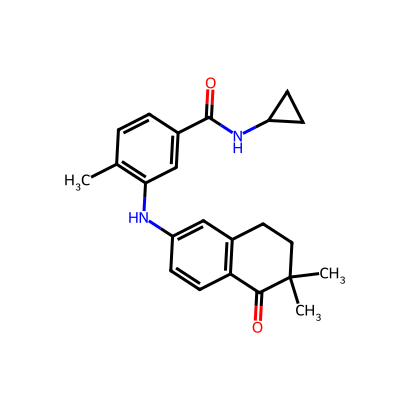 Cc1ccc(C(=O)NC2CC2)cc1Nc1ccc2c(c1)CCC(C)(C)C2=O